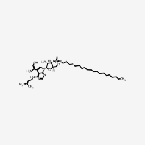 CCCCCCCCCCCCCCCCOCCCOP1(=O)OC[C@H]2O[C@@H](n3cc(/C(N)=C\O)c4c(NCC=C(C)C)ncnc43)[C@H](O)[C@@H]2O1